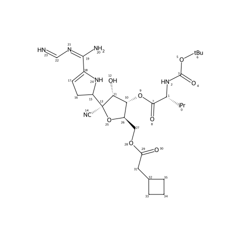 CC(C)[C@@H](NC(=O)OC(C)(C)C)C(=O)O[C@H]1[C@@H](O)[C@](C#N)(C2CC=C(/C(N)=N\C=N)N2)O[C@@H]1COC(=O)CC1CCC1